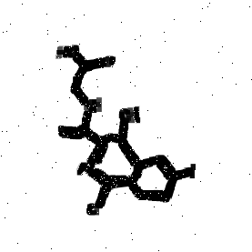 O=C(O)CNC(=O)c1nc(Cl)c2ccc(I)cc2c1O